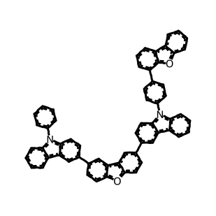 c1ccc(-n2c3ccccc3c3cc(-c4ccc5oc6ccc(-c7ccc8c(c7)c7ccccc7n8-c7ccc(-c8cccc9c8oc8ccccc89)cc7)cc6c5c4)ccc32)cc1